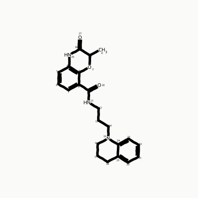 CC1Oc2c(cccc2C(=O)NCCCN2CCCc3ccccc32)NC1=O